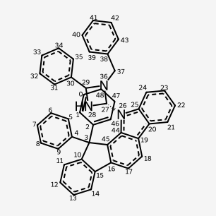 C1=CC(C2(c3ccccc3)c3ccccc3-c3ccc4c5ccccc5n([C@@H]5NC(c6ccccc6)N5Cc5ccccc5)c4c32)=CCC1